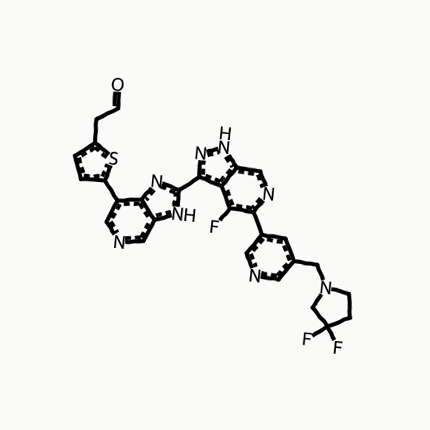 O=CCc1ccc(-c2cncc3[nH]c(-c4n[nH]c5cnc(-c6cncc(CN7CCC(F)(F)C7)c6)c(F)c45)nc23)s1